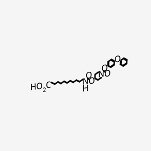 O=C(O)CCCCCCCCCCCNC(=O)OC1CCN(C(=O)Oc2ccc(Oc3ccccc3)cc2)CC1